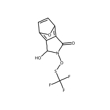 O=C1c2c(c3ccc2o3)C(O)N1OSC(F)(F)F